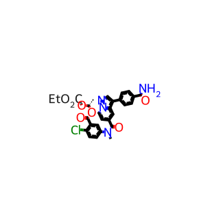 CCOC(=O)O[C@H](C)OC(=O)c1cc(N(C)C(=O)c2ccn3ncc(-c4ccc(C(N)=O)cc4)c3c2)ccc1Cl